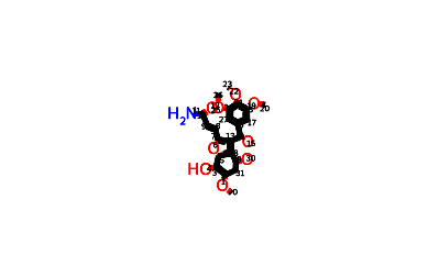 COC1=C(O)c2oc(/C=C/C(N)=O)c(C(=O)c3cc(OC)c(OC)c(OC)c3)c2C(=O)C1